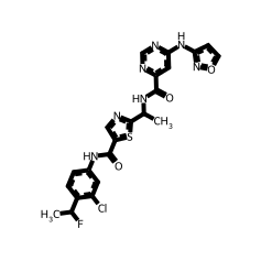 CC(F)c1ccc(NC(=O)c2cnc(C(C)NC(=O)c3cc(Nc4ccon4)ncn3)s2)cc1Cl